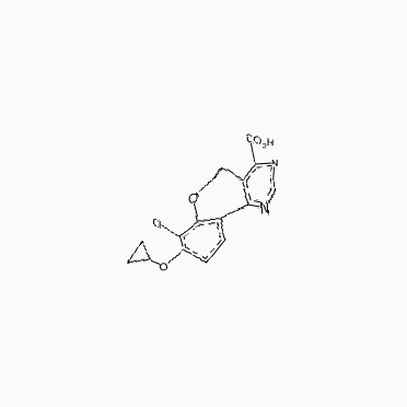 O=C(O)c1ncnc2c1COc1c-2ccc(OC2CC2)c1Cl